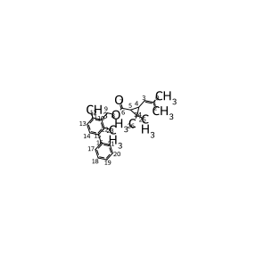 CC(C)=CC1C(C(=O)OCc2c(C)ccc(-c3ccccc3)c2C)C1(C)C